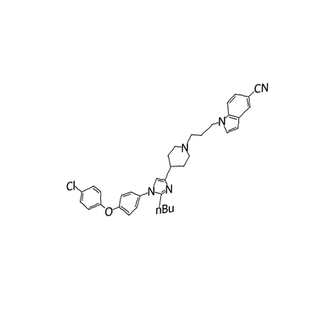 CCCCc1nc(C2CCN(CCCn3ccc4cc(C#N)ccc43)CC2)cn1-c1ccc(Oc2ccc(Cl)cc2)cc1